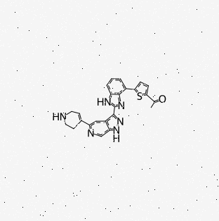 CC(=O)c1ccc(-c2cccc3[nH]c(-c4n[nH]c5cnc(C6=CCNCC6)cc45)nc23)s1